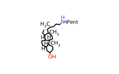 [CH2]CCC([CH2])NCCC[C@@H](C)[C@H]1CC[C@H]2[C@@H]3CC[C@@H]4C[C@H](O)CC[C@]4(C)[C@H]3CC[C@]12C